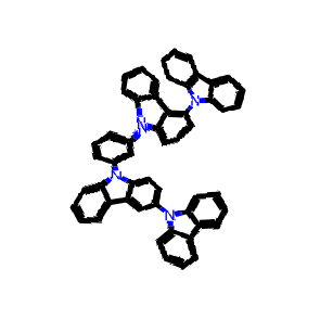 C1=Cc2c(n(-c3cccc4c3c3ccccc3n4-c3cccc(-n4c5ccccc5c5cc(-n6c7ccccc7c7ccccc76)ccc54)c3)c3ccccc23)CC1